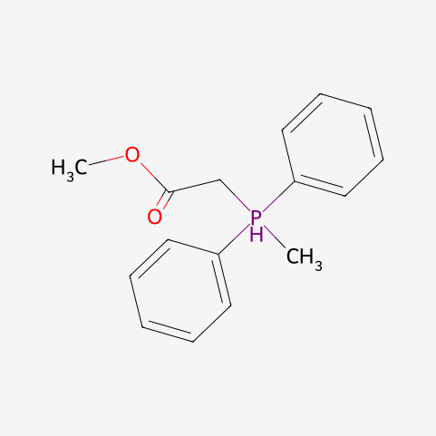 COC(=O)C[PH](C)(c1ccccc1)c1ccccc1